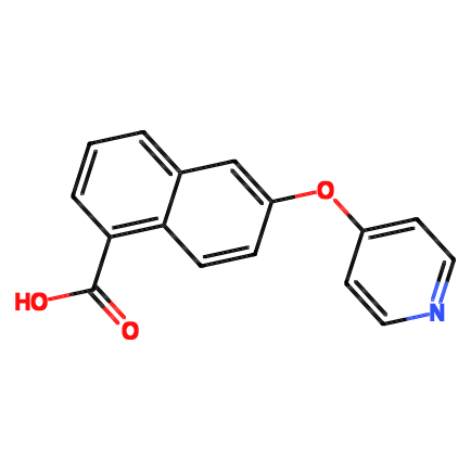 O=C(O)c1cccc2cc(Oc3ccncc3)ccc12